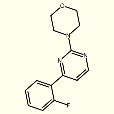 Fc1ccccc1-c1ccnc(N2CCOCC2)n1